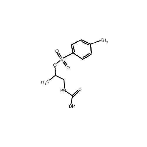 Cc1ccc(S(=O)(=O)OC(C)CNC(=O)O)cc1